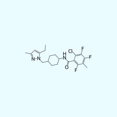 CCc1cc(C)nn1CC1CCC(NC(=O)c2c(F)c(C)c(F)c(F)c2Cl)CC1